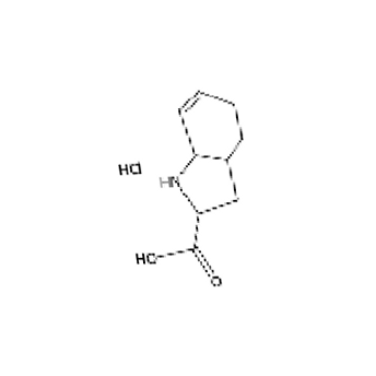 Cl.O=C(O)C1CC2CCC=CC2N1